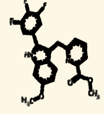 COC(=O)c1cccc(Cc2c(-c3cc(F)c(F)c(F)c3)[nH]c3cc(OC)ccc23)n1